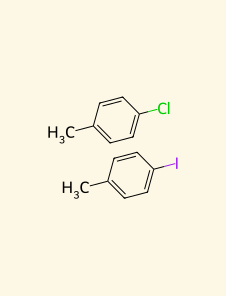 Cc1ccc(Cl)cc1.Cc1ccc(I)cc1